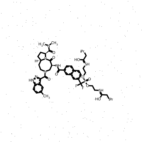 Cc1ccc2[nH]nc(C(=O)N3CC[C@H]4CC[C@@H](C(=O)N(C)C)N4C(=O)[C@@H](NC(=O)c4ccc5ccc(C(F)(F)P(=O)(OCC[SH]=C(O)CC(C)C)OCC[SH]=C(O)CC(C)C)cc5c4)C3)c2c1